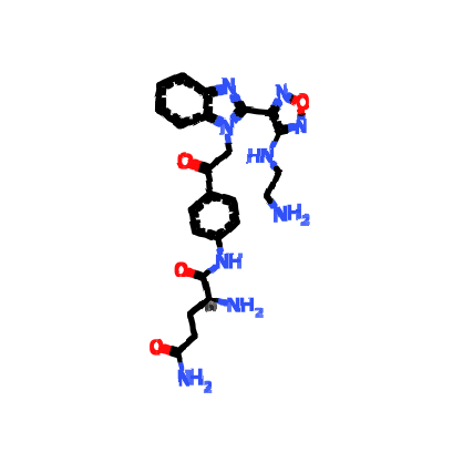 NCCNc1nonc1-c1nc2ccccc2n1CC(=O)c1ccc(NC(=O)[C@@H](N)CCC(N)=O)cc1